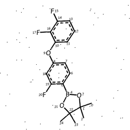 CC1(C)OB(c2ccc(Oc3cccc(F)c3F)cc2F)OC1(C)C